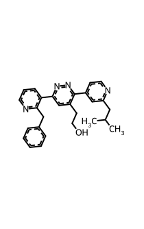 CC(C)Cc1cc(-c2nnc(-c3cccnc3Cc3ccccc3)cc2CCO)ccn1